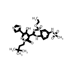 CCOP1(=O)N=C(c2c(O)c(-c3cncs3)nn(CCC(C)(C)C)c2=O)Nc2ccc(NS(C)(=O)=O)cc21